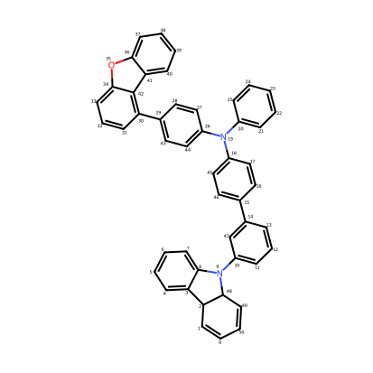 C1=CC2c3ccccc3N(c3cccc(-c4ccc(N(c5ccccc5)c5ccc(-c6cccc7oc8ccccc8c67)cc5)cc4)c3)C2C=C1